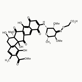 COC(=O)c1c(C)cc2c(c1O)C1(O)C(=O)c3cc4c(c(O)c3C(=O)[C@]1(OC)[C@H](O)C2)C(=O)C=C(N[C@H]1O[C@@H](C)[C@H](OC)C(=NOCC(=O)O)[C@H]1OC)C4=O